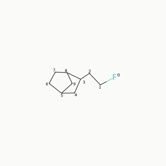 FCCC1CC2CCC1C2